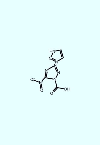 O=C(O)n1nnnc1[N+](=O)[O-].c1c[nH]nn1